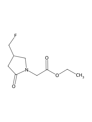 CCOC(=O)CN1CC(CF)CC1=O